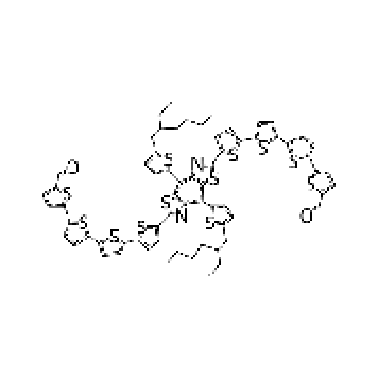 CCCCC(CC)Cc1ccc(-c2c3nc(-c4ccc(-c5ccc(-c6ccc(-c7ccc(C=O)s7)s6)s5)s4)sc3c(-c3ccc(CC(CC)CCCC)s3)c3nc(-c4ccc(-c5ccc(-c6ccc(-c7ccc(C=O)s7)s6)s5)s4)sc23)s1